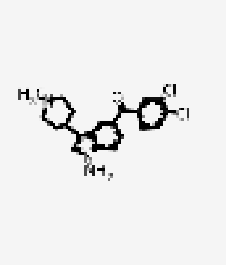 CN1CCC(c2cn(N)c3ccc(C(=O)c4ccc(Cl)c(Cl)c4)cc23)CC1